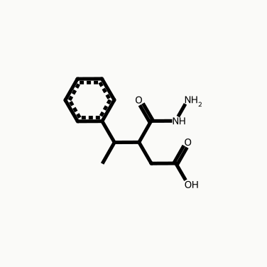 CC(c1ccccc1)C(CC(=O)O)C(=O)NN